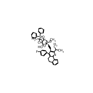 COP(=O)(C#Cc1c(C(C)C)nc2c(c1-c1ccc(F)cc1)CCc1ccccc1-2)C[C@H](CC(=O)O)O[Si](c1ccccc1)(c1ccccc1)C(C)(C)C